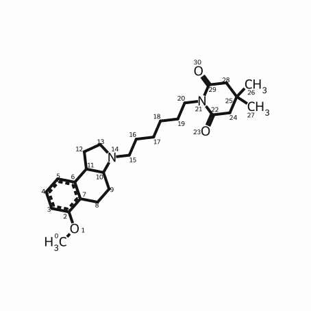 COc1cccc2c1CCC1C2CCN1CCCCCCN1C(=O)CC(C)(C)CC1=O